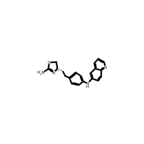 NC1=N[C@@H](CCc2ccc(Nc3ccc4ncccc4c3)cc2)CO1